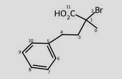 CC(Br)(CCc1ccccc1)C(=O)O